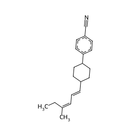 CCC(C)=CC=CC1CCC(c2ccc(C#N)cc2)CC1